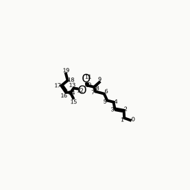 CCC=CCCCCC(C)C(=O)OCC(C)/C=C\CC